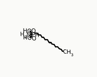 CCCCCCCCC=CCCCCCCCC(=O)PC(N)(CO)C(=O)O